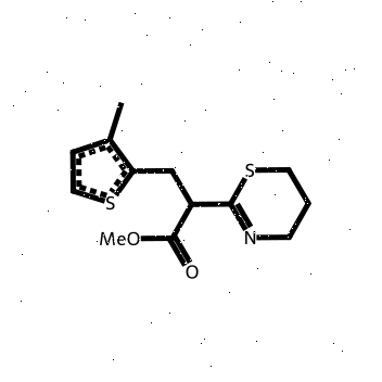 COC(=O)C(Cc1sccc1C)C1=NCCCS1